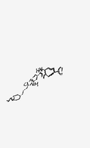 CN1CCC(CCCC(=O)Nc2cc(-c3nc4cc(Cl)ccc4[nH]3)ccn2)CC1